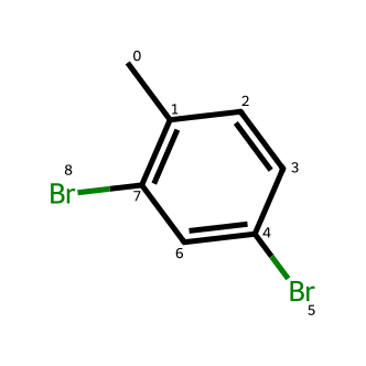 Cc1ccc(Br)cc1Br